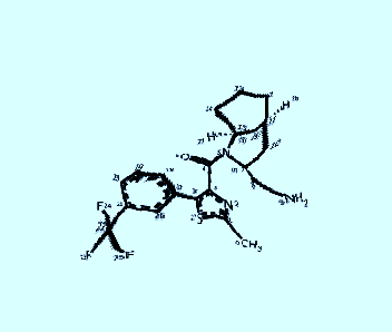 Cc1nc(C(=O)N2[C@H](CN)C[C@@H]3CCC[C@@H]32)c(-c2cccc(C(F)(F)F)c2)s1